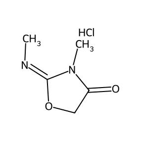 CN=C1OCC(=O)N1C.Cl